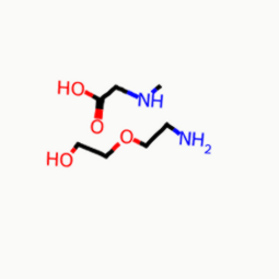 CNCC(=O)O.NCCOCCO